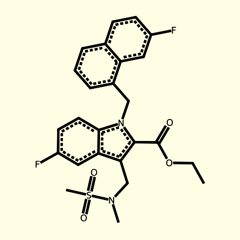 CCOC(=O)c1c(CN(C)S(C)(=O)=O)c2cc(F)ccc2n1Cc1cccc2ccc(F)cc12